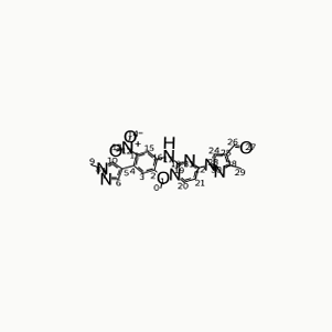 COc1cc(-c2cnn(C)c2)c([N+](=O)[O-])cc1Nc1nccc(-n2cc(C=O)c(C)n2)n1